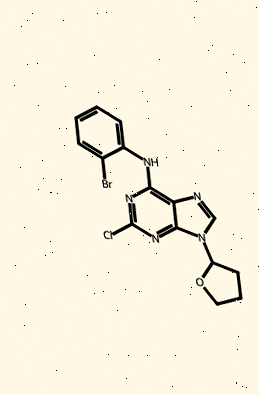 Clc1nc(Nc2ccccc2Br)c2ncn(C3CCCO3)c2n1